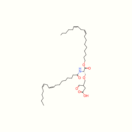 CCCCC/C=C\C/C=C\CCCCCCCCOC(=O)[C@H](COCC(C=O)CC(=O)O)NC(=O)CCCCCCC/C=C\C/C=C\CCCCC